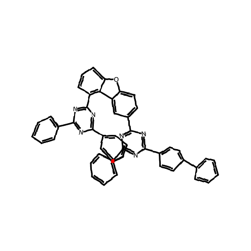 c1ccc(-c2ccc(-c3nc(-c4ccccc4)nc(-c4ccc5oc6cccc(-c7nc(-c8ccccc8)nc(-c8ccccc8)n7)c6c5c4)n3)cc2)cc1